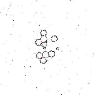 [Cl-].c1ccc(-c2ccccc2C(c2ccccc2)n2cc[n+](C(c3ccccc3)c3ccccc3-c3ccccc3)c2)cc1